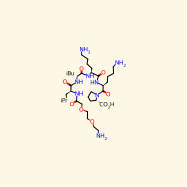 CC[C@H](C)[C@H](NC(=O)[C@H](CC(C)C)NC(=O)COCCOCCN)C(=O)N[C@@H](CCCCN)C(=O)N[C@@H](CCCCN)C(=O)N1CCC[C@H]1C(=O)O